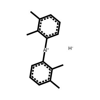 Cc1ccc[c]([Al+][c]2cccc(C)c2C)c1C.[H-]